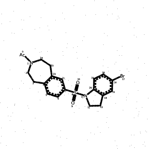 CC(=O)N1CCc2ccc(S(=O)(=O)N3CCc4cc(Br)ccc43)cc2CC1